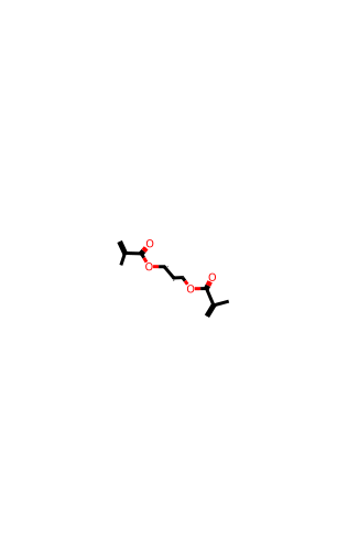 C=C(C)C(=O)O[CH][CH]COC(=O)C(=C)C